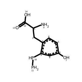 NC(Cc1ccc(O)cc1PP)C(=O)O